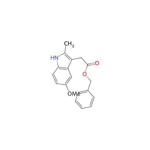 COc1ccc2[nH]c(C)c(CC(=O)OCc3ccccc3)c2c1